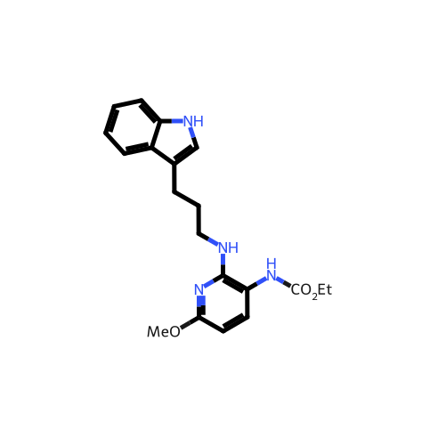 CCOC(=O)Nc1ccc(OC)nc1NCCCc1c[nH]c2ccccc12